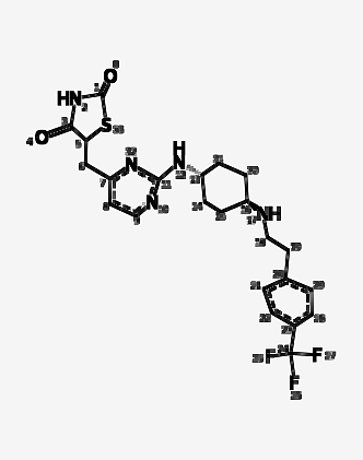 O=C1NC(=O)C(Cc2ccnc(N[C@H]3CC[C@H](NCCc4ccc(C(F)(F)F)cc4)CC3)n2)S1